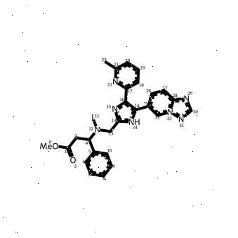 COC(=O)CC(c1ccccc1)N(I)Cc1nc(-c2cccc(C)n2)c(-c2ccc3ncnn3c2)[nH]1